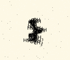 CC(C)C[C@H](NC(=O)[C@@H](N)CS)C(=O)N[C@@H](C)C(=O)N[C@@H](Cc1ccccc1)C(=O)N[C@@H](Cc1ccc(O)cc1)C(=O)N[C@@H](C)C(=O)N[C@@H](CS)C(=O)N[C@@H](Cc1ccccc1)C(=O)N[C@@H](CS)C(=O)O